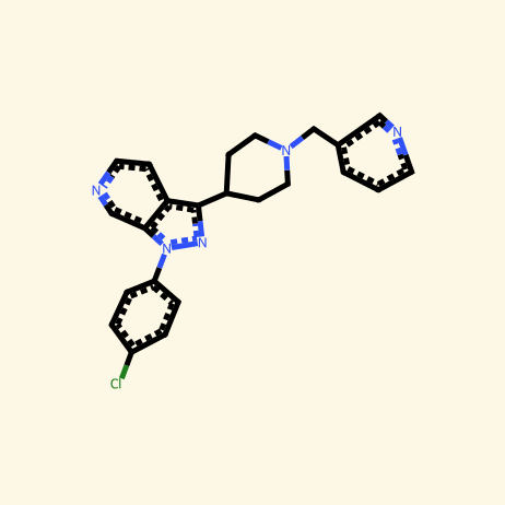 Clc1ccc(-n2nc(C3CCN(Cc4cccnc4)CC3)c3ccncc32)cc1